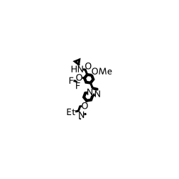 CCC(COc1ccn2c(-c3cc(OC)c(C(=O)NC4CC4)c(OC(F)F)c3)cnc2c1)N(C)C